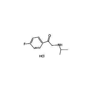 CC(C)NCC(=O)c1ccc(F)cc1.Cl